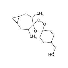 CC1CC2CC2CC(C)C12OOC1(CCC(CO)CC1)O2